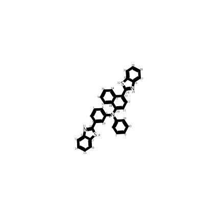 c1ccc(N(c2cccc(-c3nc4ccccc4s3)c2)c2ccc(-c3nc4ccccc4s3)c3ccccc23)cc1